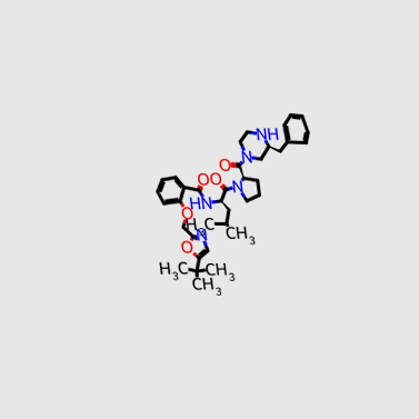 CC(C)C[C@@H](NC(=O)c1ccccc1OCc1ncc(C(C)(C)C)o1)C(=O)N1CCC[C@@H]1C(=O)N1CCN[C@@H](Cc2ccccc2)C1